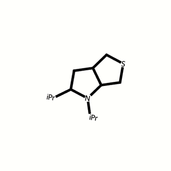 CC(C)C1CC2CSCC2N1C(C)C